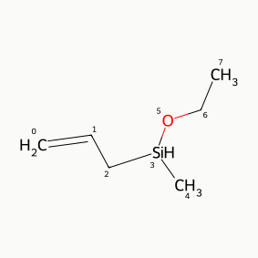 C=CC[SiH](C)OCC